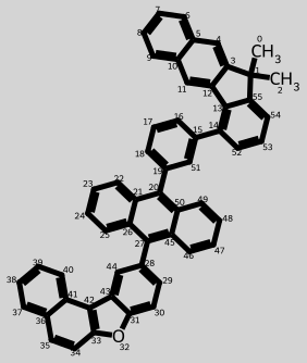 CC1(C)c2cc3ccccc3cc2-c2c(-c3cccc(-c4c5ccccc5c(-c5ccc6oc7ccc8ccccc8c7c6c5)c5ccccc45)c3)cccc21